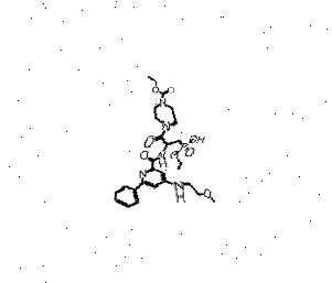 CCOC(=O)N1CCN(C(=O)C(CP(=O)(O)OCC)NC(=O)c2cc(NCCOC)cc(-c3ccccc3)n2)CC1